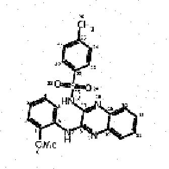 COc1ccccc1Nc1nc2ccccc2nc1NS(=O)(=O)c1ccc(C)cc1